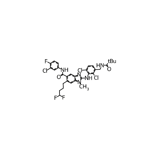 Cn1c(Nc2c(Cl)ccc(CNC(=O)C(C)(C)C)c2Cl)nc2cc(C(=O)Nc3ccc(F)c(Cl)c3)c(CCCC(F)F)cc21